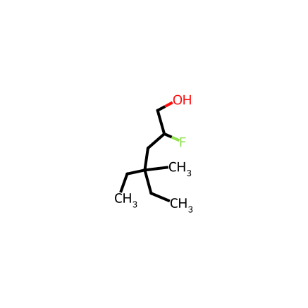 CCC(C)(CC)CC(F)CO